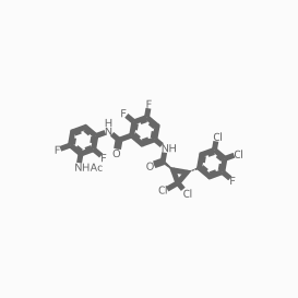 CC(=O)Nc1c(F)ccc(NC(=O)c2cc(NC(=O)[C@H]3[C@H](c4cc(F)c(Cl)c(Cl)c4)C3(Cl)Cl)cc(F)c2F)c1F